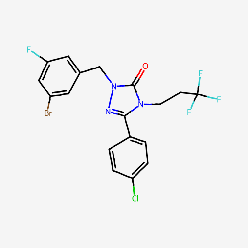 O=c1n(Cc2cc(F)cc(Br)c2)nc(-c2ccc(Cl)cc2)n1CCC(F)(F)F